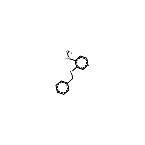 CNc1ccncc1OCc1ccccc1